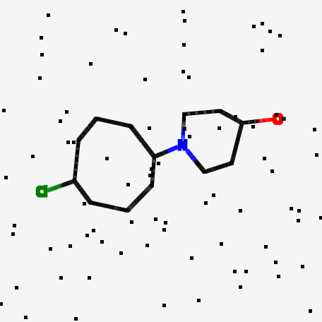 [O]C1CCN(C2CCCC(Cl)CCC2)CC1